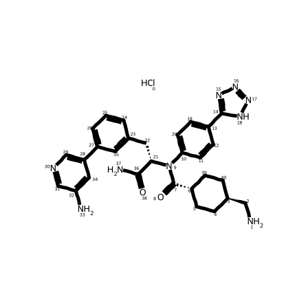 Cl.NC[C@H]1CC[C@H](C(=O)N(c2ccc(-c3nnn[nH]3)cc2)[C@@H](Cc2cccc(-c3cncc(N)c3)c2)C(N)=O)CC1